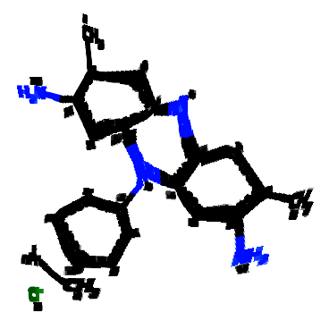 CCCC.Cc1cc2nc3cc(C)c(N)cc3[n+](-c3ccccc3)c2cc1N.[Cl-]